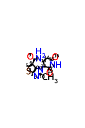 Cc1nc2scc(C(N)=O)c2n1C1CCC(=O)NC1=O